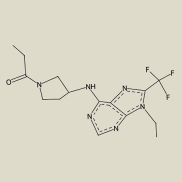 CCC(=O)N1CCC(Nc2ncnc3c2nc(C(F)(F)F)n3CC)C1